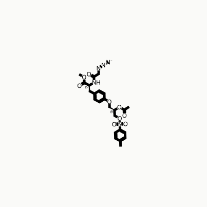 COC(=O)[C@H](Cc1ccc(OC[C@H](COS(=O)(=O)c2ccc(C)cc2)OC(C)=O)cc1)NC(=O)CN=[N+]=[N-]